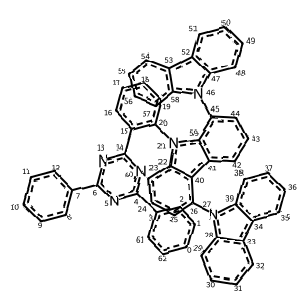 c1ccc(-c2nc(-c3ccccc3)nc(-c3ccccc3-n3c4cccc(-n5c6ccccc6c6ccccc65)c4c4cccc(-n5c6ccccc6c6ccccc65)c43)n2)cc1